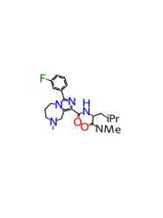 CNC(=O)C(CC(C)C)NC(=O)c1nc(-c2cccc(F)c2)n2c1CN(C)CCC2